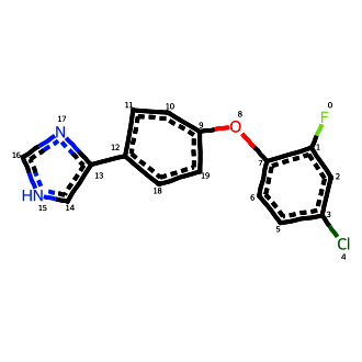 Fc1cc(Cl)ccc1Oc1ccc(-c2c[nH]cn2)cc1